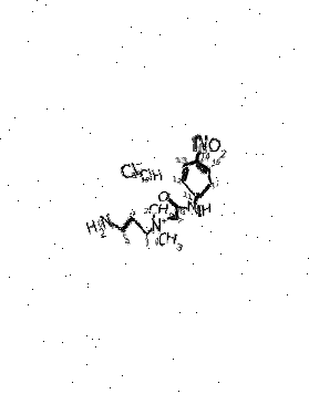 C[N+](C)(CCCN)CC(=O)Nc1ccc([N+](=O)[O-])cc1.Cl.[Cl-]